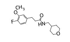 COc1cc(CCC(=O)NCC2CCOCC2)ccc1F